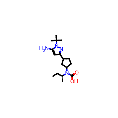 CC[C@H](C)N(C(=O)O)C1CCC(c2cc(N)n(C(C)(C)C)n2)C1